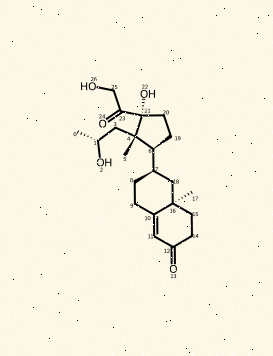 C[C@@H](O)C[C@@]1(C)[C@H]([C@@H]2CCC3=CC(=O)CC[C@]3(C)C2)CC[C@]1(O)C(=O)CO